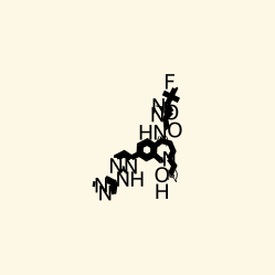 C[C@H](O)CN1CC[C@@H](NC(=O)c2nnc(C(C)(C)CF)o2)c2ccc(-c3ccnc(Nc4cnn(C)c4)n3)cc2C1